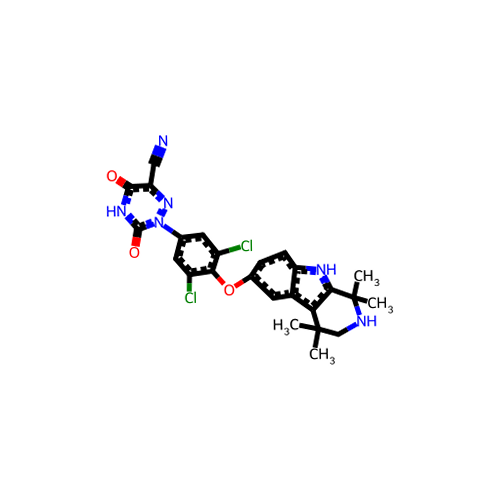 CC1(C)CNC(C)(C)c2[nH]c3ccc(Oc4c(Cl)cc(-n5nc(C#N)c(=O)[nH]c5=O)cc4Cl)cc3c21